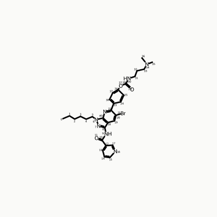 CCCCCCn1nc(NC(=O)c2cccnc2)c2cc(Br)c(-c3ccc(OC(=O)NCCCN(C)C)cc3)nc21